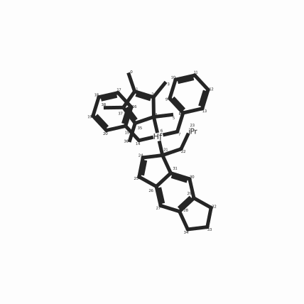 CC1=C(C)[C](C)([Hf]([CH2]c2ccccc2)([CH2]c2ccccc2)[C]2(CC(C)C)C=Cc3cc4c(cc32)CCC4)C(C)=C1C